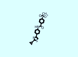 CS(=O)(=O)c1ccc(C(=O)Nc2ccc(-c3csc(C4CC4)n3)cc2)cc1